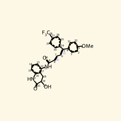 COc1ccc(/C(=C/C=C/C(=O)Nc2cccc3c2CC(O)C(=O)N3)c2ccc(C(F)(F)F)cc2)cc1